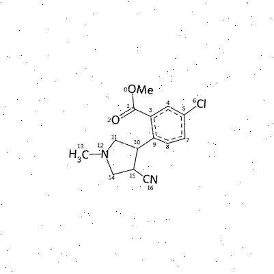 COC(=O)c1cc(Cl)ccc1C1CN(C)CC1C#N